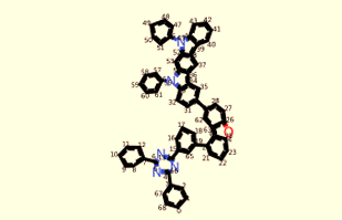 c1ccc(-c2nc(-c3ccccc3)nc(-c3cccc(-c4cccc5oc6ccc(-c7ccc8c(c7)c7cc9c%10ccccc%10n(-c%10ccccc%10)c9cc7n8-c7ccccc7)cc6c45)c3)n2)cc1